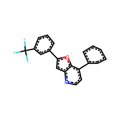 FC(F)(F)c1cccc(-c2cc3nccc(-c4ccccc4)c3o2)c1